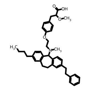 CCCCc1ccc2c(c1)CCc1cc(CCc3ccccc3)ccc1C2N(C)CCOc1ccc(CC(OC)C(=O)O)cc1